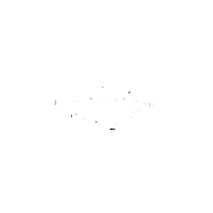 CCCCCCCC/C=C\CCCCCCCC(=O)[O-].CCCCCCCCCCCCOS(=O)(=O)[O-].[K+].[Na+]